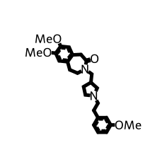 COc1cccc(CCN2CCC(CN3CCc4cc(OC)c(OC)cc4CC3=O)C2)c1